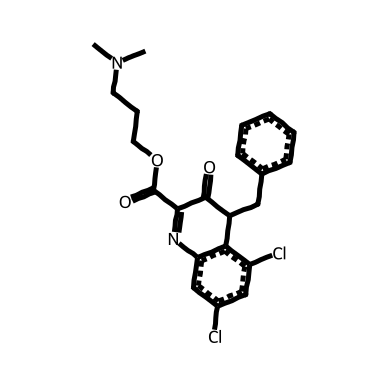 CN(C)CCCOC(=O)C1=Nc2cc(Cl)cc(Cl)c2C(Cc2ccccc2)C1=O